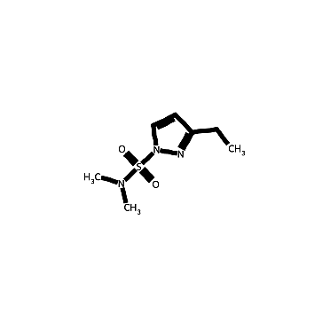 CCc1ccn(S(=O)(=O)N(C)C)n1